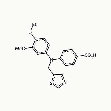 CCOc1ccc(N(Cc2cncs2)c2ccc(C(=O)O)cc2)cc1OC